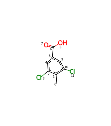 Cc1c(Cl)cc(C(=O)O)cc1Cl